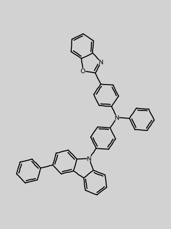 c1ccc(-c2ccc3c(c2)c2ccccc2n3-c2ccc(N(c3ccccc3)c3ccc(-c4nc5ccccc5o4)cc3)cc2)cc1